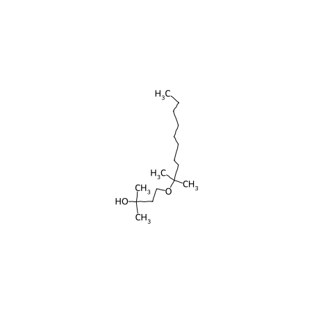 CCCCCCCCC(C)(C)OCCC(C)(C)O